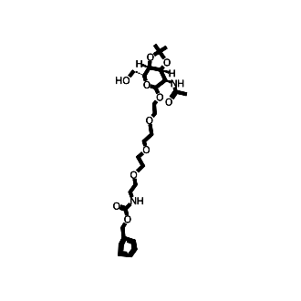 CC(=O)N[C@H]1C(OCCOCCOCCOCCNC(=O)OCc2ccccc2)O[C@H](CO)[C@@H]2OC(C)(C)O[C@@H]21